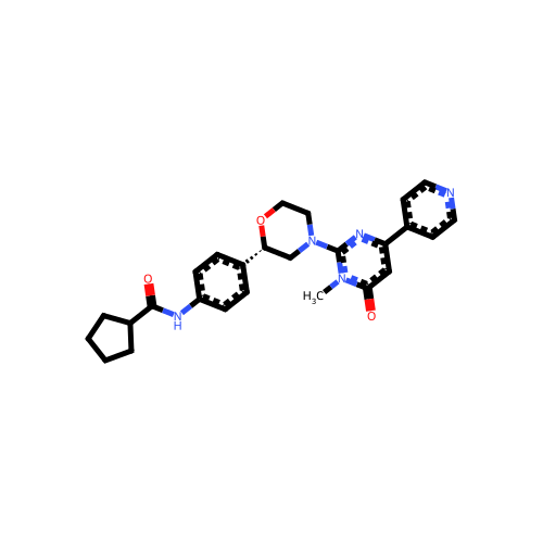 Cn1c(N2CCO[C@@H](c3ccc(NC(=O)C4CCCC4)cc3)C2)nc(-c2ccncc2)cc1=O